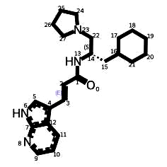 O=C(/C=C/c1c[nH]c2ncccc12)N[C@@H](CC1CCCCC1)CN1CCCC1